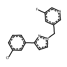 Fc1cncc(Cn2ccc(-c3cccc(Cl)c3)n2)c1